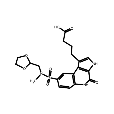 CN(CC1OCCO1)S(=O)(=O)c1ccc2[nH]c(=O)c3[nH]cc(CCCC(=O)O)c3c2c1